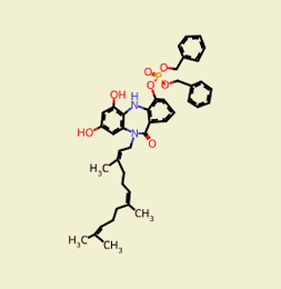 CC(C)=CCCC(C)=CCCC(C)=CCN1C(=O)c2cccc(OP(=O)(OCc3ccccc3)OCc3ccccc3)c2Nc2c(O)cc(O)cc21